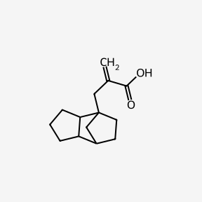 C=C(CC12CCC(C1)C1CCCC12)C(=O)O